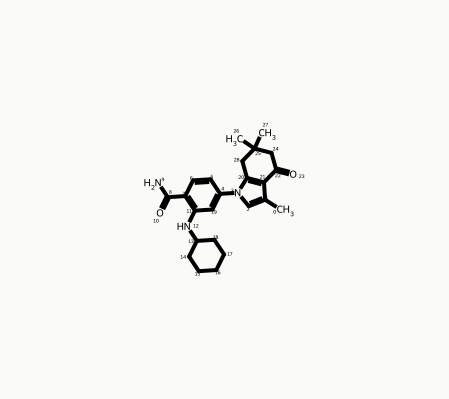 Cc1cn(-c2ccc(C(N)=O)c(NC3CCCCC3)c2)c2c1C(=O)CC(C)(C)C2